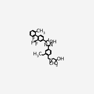 CCc1cc(C(/N=C(\I)c2ccc(-c3ccccc3C)c(C(F)(F)F)c2)=N/O)ccc1CN(C)CC(=O)O